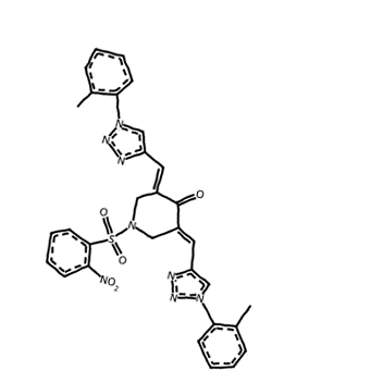 Cc1ccccc1-n1cc(C=C2CN(S(=O)(=O)c3ccccc3[N+](=O)[O-])CC(=Cc3cn(-c4ccccc4C)nn3)C2=O)nn1